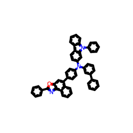 c1ccc(-c2cccc(N(c3ccc(-c4cc5oc(-c6ccccc6)nc5c5ccccc45)cc3)c3ccc4c5ccccc5n(-c5ccccc5)c4c3)c2)cc1